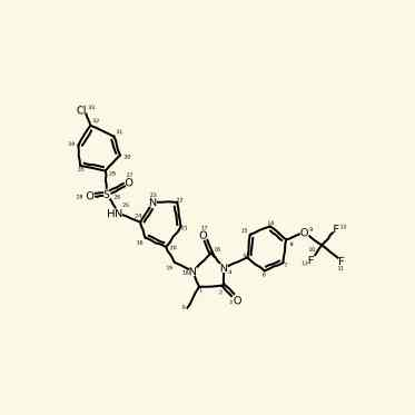 CC1C(=O)N(c2ccc(OC(F)(F)F)cc2)C(=O)N1Cc1ccnc(NS(=O)(=O)c2ccc(Cl)cc2)c1